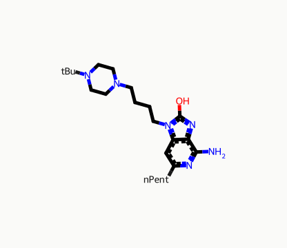 CCCCCc1cc2c(nc(O)n2CCCCN2CCN(C(C)(C)C)CC2)c(N)n1